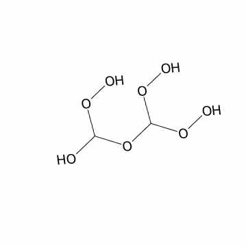 OOC(O)OC(OO)OO